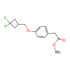 CC(C)(C)OC(=O)Cc1ccc(OCC2CC(F)(F)C2)cc1